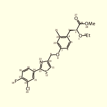 CCO[C@@H](Cc1ccc(OCc2csc(-c3ccc(F)c(Cl)c3)n2)cc1C)C(=O)OC